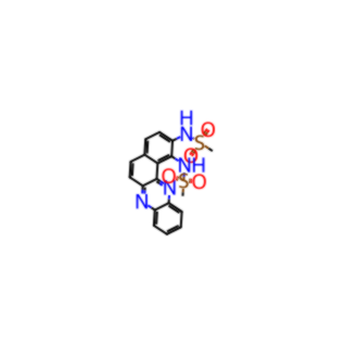 CS(=O)(=O)Nc1ccc2ccc3nc4ccccc4nc3c2c1NS(C)(=O)=O